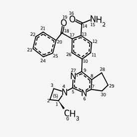 C[C@H]1CCN1c1nc2c(c(-c3ccc(C(N)=O)c(C(=O)c4ccccc4)c3)n1)CCC2